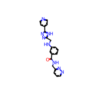 O=C(NCc1cccnn1)c1cccc(NCc2nnc(-c3ccncc3)[nH]2)c1